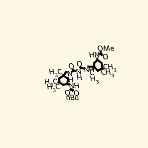 CCCCOC(=O)NC1CC(C)(C)CC(C)(CNC(=O)NC(=O)NCC2(C)CC(NC(=O)OC)CC(C)(C)C2)C1